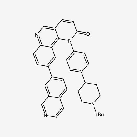 CC(C)(C)N1CCC(c2ccc(-n3c(=O)ccc4cnc5ccc(-c6ccc7ccncc7c6)cc5c43)cc2)CC1